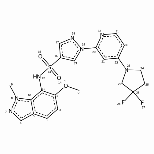 COc1ccc2cnn(C)c2c1NS(=O)(=O)c1cnn(-c2cc(N3CCC(F)(F)C3)ccn2)c1